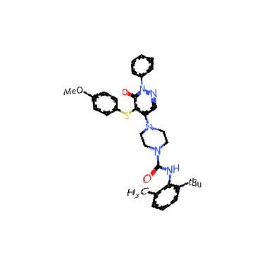 COc1ccc(Sc2c(N3CCN(C(=O)Nc4c(C)cccc4C(C)(C)C)CC3)cnn(-c3ccccc3)c2=O)cc1